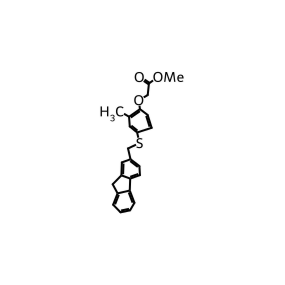 COC(=O)COc1ccc(SCc2ccc3c(c2)Cc2ccccc2-3)cc1C